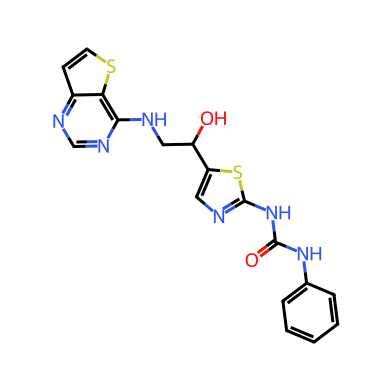 O=C(Nc1ccccc1)Nc1ncc(C(O)CNc2ncnc3ccsc23)s1